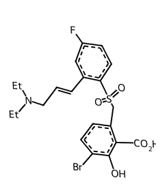 CCN(CC)C/C=C/c1cc(F)ccc1S(=O)(=O)Cc1ccc(Br)c(O)c1C(=O)O